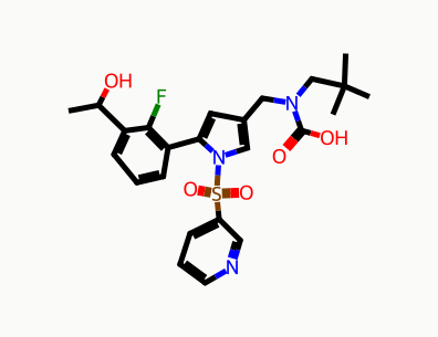 CC(O)c1cccc(-c2cc(CN(CC(C)(C)C)C(=O)O)cn2S(=O)(=O)c2cccnc2)c1F